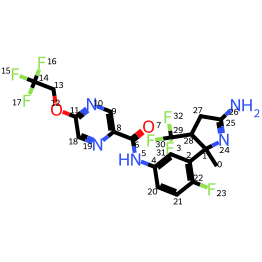 CC1(c2cc(NC(=O)c3cnc(OCC(F)(F)F)cn3)ccc2F)N=C(N)CC1C(F)(F)F